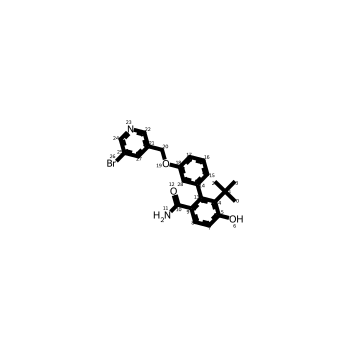 CC(C)(C)c1c(O)ccc(C(N)=O)c1-c1cccc(OCc2cncc(Br)c2)c1